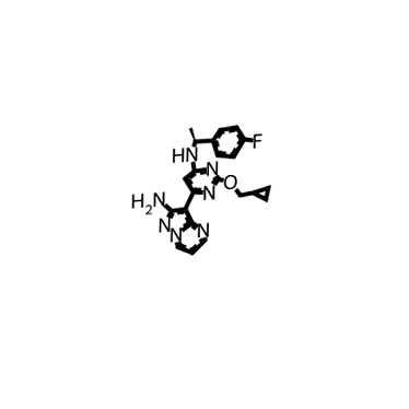 C[C@H](Nc1cc(-c2c(N)nn3cccnc23)nc(OCC2CC2)n1)c1ccc(F)cc1